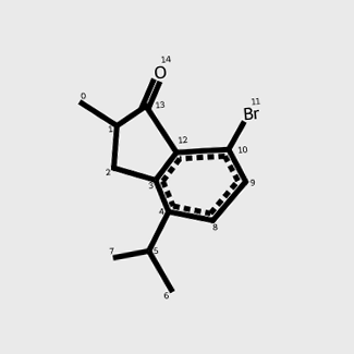 CC1Cc2c(C(C)C)ccc(Br)c2C1=O